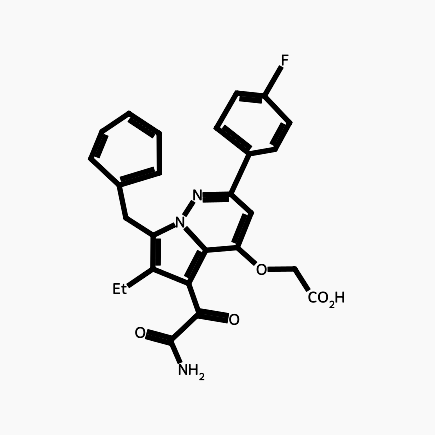 CCc1c(C(=O)C(N)=O)c2c(OCC(=O)O)cc(-c3ccc(F)cc3)nn2c1Cc1ccccc1